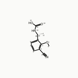 COc1c(C#N)cccc1[C@@H](C)NC(=O)O